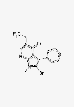 Cn1c(Br)c(-c2ccccc2)c2c(=O)n(CC(F)(F)F)cnc21